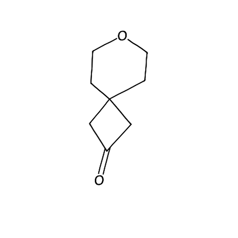 O=C1CC2(CCOCC2)C1